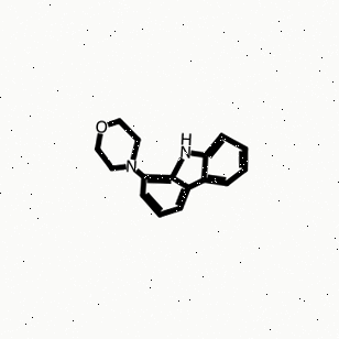 c1ccc2c(c1)[nH]c1c(N3CCOCC3)cccc12